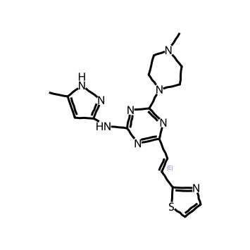 Cc1cc(Nc2nc(/C=C/c3nccs3)nc(N3CCN(C)CC3)n2)n[nH]1